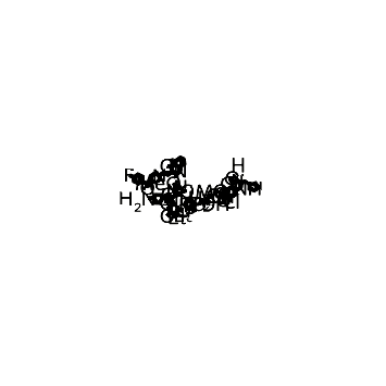 CCC1(CC)C(=O)C=CNC1=O.COc1cc(NS(=O)(=O)c2ccc(N)cc2)nc(OC)n1.Cc1ccccc1OCC(O)CO.Cc1nc2ccccn2c(=O)c1CCN1CCC(C(=O)c2ccc(F)cc2)CC1.NS(=O)(=O)c1cc2c(cc1Cl)NC(CC1CCCC1)NS2(=O)=O